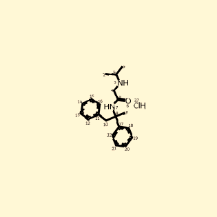 CC(C)NCC(=O)NC(C)(Cc1ccccc1)c1ccccc1.Cl